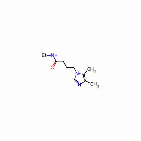 CCNC(=O)CCCn1[c]nc(C)c1C